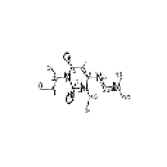 CCC(C)n1c(=O)cc(N=CN(C)C)n(CC)c1=O